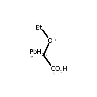 CCOCC(=O)O.[PbH2]